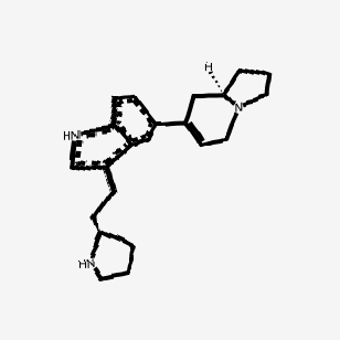 C1=C(c2ccc3[nH]cc(CC[C@H]4CCCN4)c3c2)C[C@H]2CCCN2C1